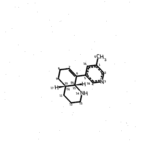 Cc1cncc(C2=CCC[C@H]3CCCN[C@@H]23)c1